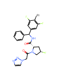 CC(C)c1c(F)cc([C@@H](NC(=O)[C@@H]2C[C@@H](F)CN2C(=O)Cn2ccnn2)c2ccccc2)cc1F